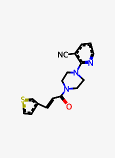 N#Cc1cccnc1N1CCN(C(=O)/C=C/c2ccsc2)CC1